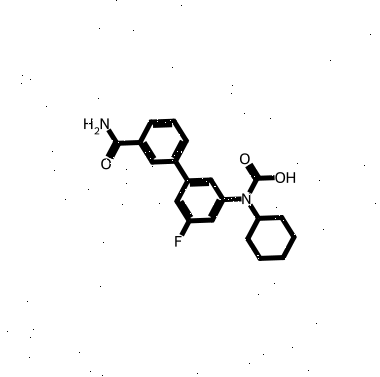 NC(=O)c1cccc(-c2cc(F)cc(N(C(=O)O)C3CCCCC3)c2)c1